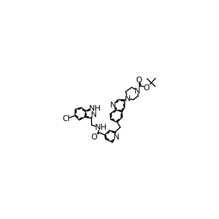 CC(C)(C)OC(=O)N1CCN(c2cnc3ccc(Cc4cc(C(=O)NCc5n[nH]c6ccc(Cl)cc56)ccn4)cc3c2)CC1